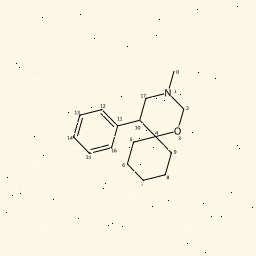 CN1COC2(CCCCC2)C(c2ccccc2)C1